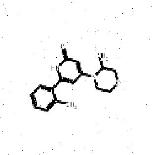 Cc1ccccc1-c1cc(N2CCOCC2C)cc(=O)[nH]1